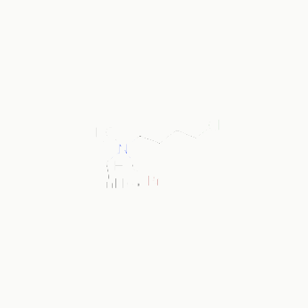 CCCCCCC[N+](C)(C)CCCCCl.[Br-]